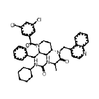 CC(NC(=O)NC1CCCCC1)C(=O)N(Cc1ccnc2ccccc12)[C@H]1CCN(C(=O)c2cc(Cl)cc(Cl)c2)[C@H](Cc2ccccc2)C1